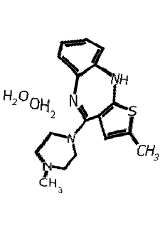 Cc1cc2c(s1)Nc1ccccc1N=C2N1CCN(C)CC1.O.O